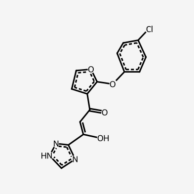 O=C(C=C(O)c1nc[nH]n1)c1ccoc1Oc1ccc(Cl)cc1